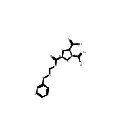 O=C(OCOCc1ccccc1)C1CC(C(=O)O)N(C(=O)O)C1